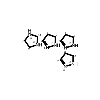 C1=NNCC1.C1=NNCC1.C1=NNCC1.C1CNCN1